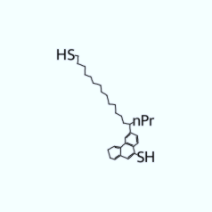 CCCC(CCCCCCCCCCCCCCS)c1ccc2c(S)cc3c(c2c1)=CCCC=3